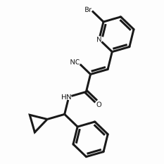 N#C/C(=C\c1cccc(Br)n1)C(=O)NC(c1ccccc1)C1CC1